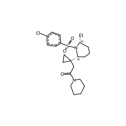 CC[C@@H]1CCC[C@H](C2(CC(=O)N3CCCCC3)CC2)N1S(=O)(=O)c1ccc(Cl)cc1